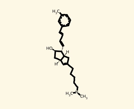 Cc1cccc(/C=C/C=C/[C@@H]2[C@H]3CC(CCCCCN(C)C)=C[C@H]3C[C@H]2O)c1